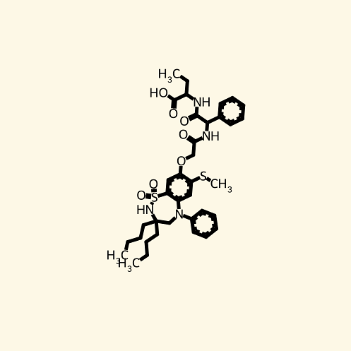 CCCCC1(CCCC)CN(c2ccccc2)c2cc(SC)c(OCC(=O)NC(C(=O)NC(CC)C(=O)O)c3ccccc3)cc2S(=O)(=O)N1